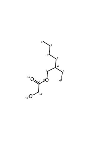 CCCCC(CC)COC(=O)C[O]